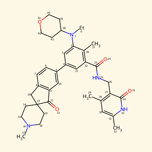 CCN(c1cc(-c2ccc3c(c2)C(=O)C2(CCN(C)CC2)C3)cc(C(=O)NCc2c(C)cc(C)[nH]c2=O)c1C)C1CCOCC1